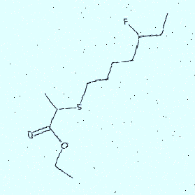 CCOC(=O)C(C)SCCCCC(F)CC